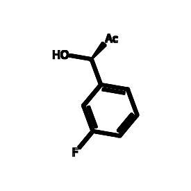 CC(=O)[C@H](O)c1cccc(F)c1